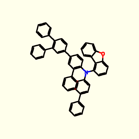 c1ccc(-c2ccc(N(c3ccc(-c4ccc(-c5ccccc5)c(-c5ccccc5)c4)cc3-c3ccccc3)c3cccc4oc5ccccc5c34)cc2)cc1